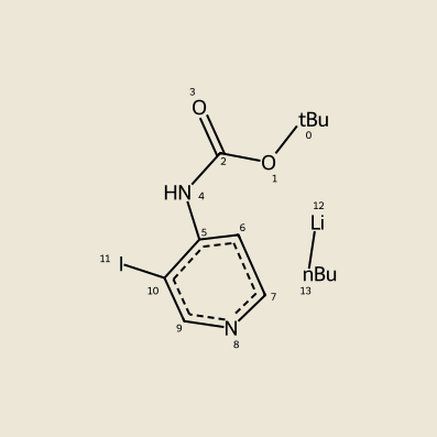 CC(C)(C)OC(=O)Nc1ccncc1I.[Li][CH2]CCC